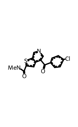 CNC(=O)c1cc2c(C(=O)c3ccc(Cl)cc3)cncc2s1